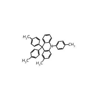 Cc1ccc(N2c3ccccc3C(c3ccc(C)cc3)(c3ccc(C)cc3)c3cc(C)ccc32)cc1